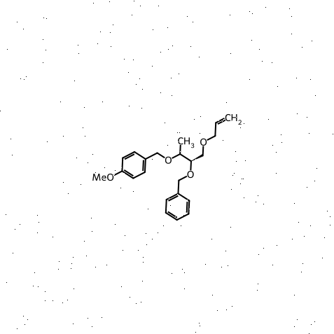 C=CCOC[C@@H](OCc1ccccc1)C(C)OCc1ccc(OC)cc1